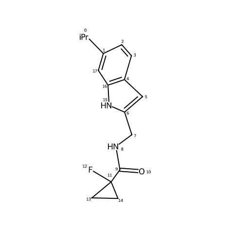 CC(C)c1ccc2cc(CNC(=O)C3(F)CC3)[nH]c2c1